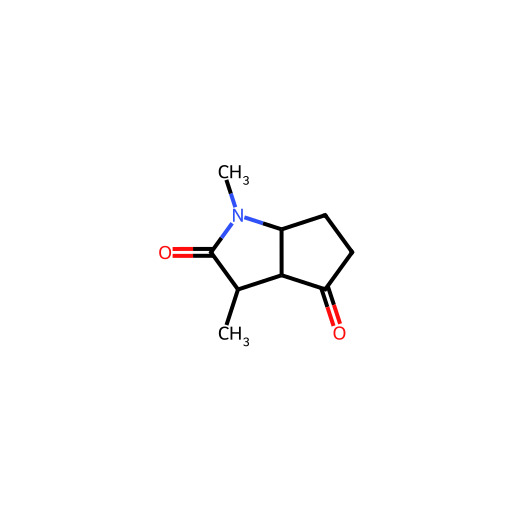 CC1C(=O)N(C)C2CCC(=O)C12